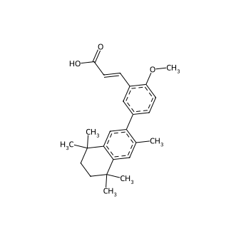 COc1ccc(-c2cc3c(cc2C)C(C)(C)CCC3(C)C)cc1C=CC(=O)O